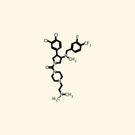 CN(C)CCN1CCN(C(=O)N2CC(c3ccc(Cl)c(Cl)c3)C(N(C)Cc3ccc(C(F)(F)F)c(F)c3)C2)CC1